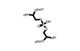 CCCCCC(CCC)CSP(=O)(O)SCC(CCC)CCCCC